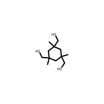 CC1(CO)CC(C)(CO)CC(C)(CO)C1